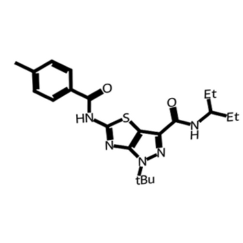 CCC(CC)NC(=O)c1nn(C(C)(C)C)c2nc(NC(=O)c3ccc(C)cc3)sc12